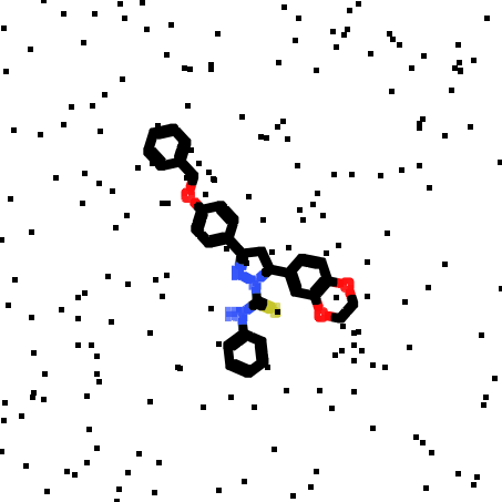 S=C(Nc1ccccc1)N1N=C(c2ccc(OCc3ccccc3)cc2)CC1c1ccc2c(c1)OCCO2